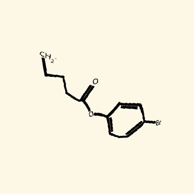 [CH2]CCCC(=O)Oc1ccc(Br)cc1